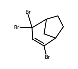 BrC1=CC(Br)(Br)C2CCC1C2